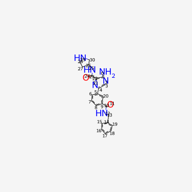 Nc1ncc(-c2cccc(C(=O)NCc3ccccc3)c2)nc1C(=O)NC1CCNC1